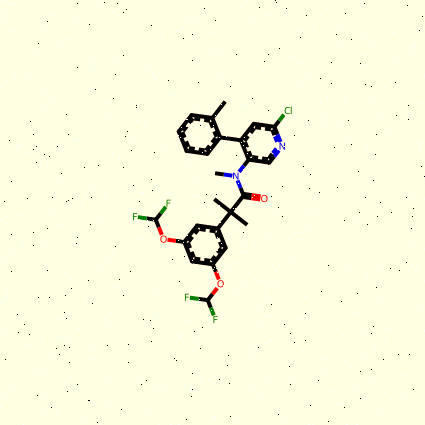 Cc1ccccc1-c1cc(Cl)ncc1N(C)C(=O)C(C)(C)c1cc(OC(F)F)cc(OC(F)F)c1